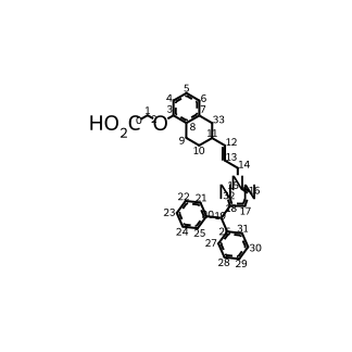 O=C(O)COc1cccc2c1CCC(C=CCn1ncc(C(c3ccccc3)c3ccccc3)n1)C2